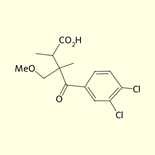 COCC(C)(C(=O)c1ccc(Cl)c(Cl)c1)C(C)C(=O)O